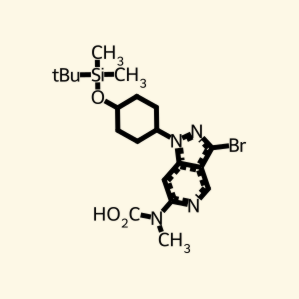 CN(C(=O)O)c1cc2c(cn1)c(Br)nn2C1CCC(O[Si](C)(C)C(C)(C)C)CC1